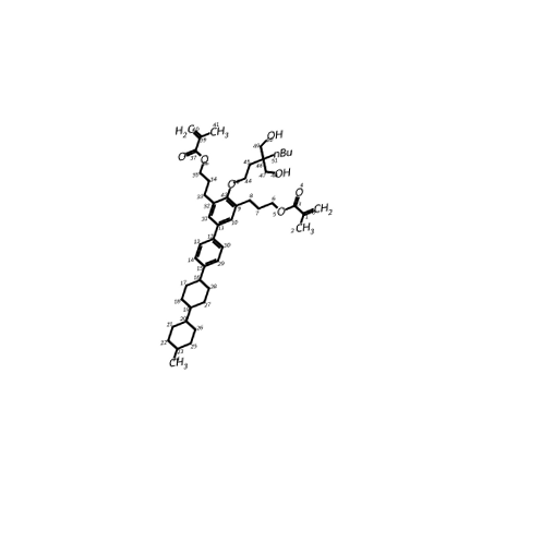 C=C(C)C(=O)OCCCc1cc(-c2ccc(C3CCC(C4CCC(C)CC4)CC3)cc2)cc(CCCOC(=O)C(=C)C)c1OCCC(CO)(CO)CCCC